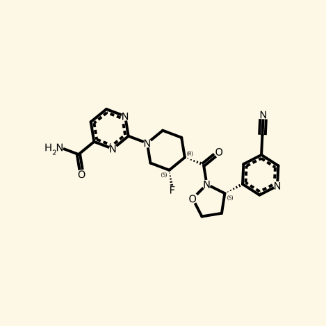 N#Cc1cncc([C@@H]2CCON2C(=O)[C@H]2CCN(c3nccc(C(N)=O)n3)C[C@H]2F)c1